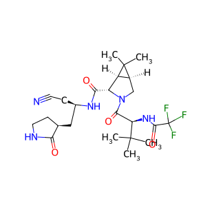 CC(C)(C)[C@H](NC(=O)C(F)(F)F)C(=O)N1C[C@H]2[C@@H]([C@H]1C(=O)N[C@H](CC#N)C[C@@H]1CCNC1=O)C2(C)C